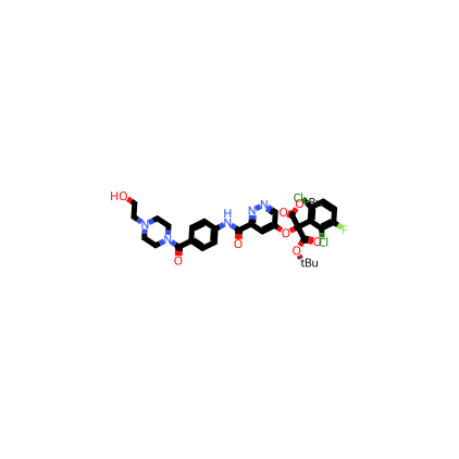 CC(C)(C)OC(=O)C(Oc1cnnc(C(=O)Nc2ccc(C(=O)N3CCN(CCO)CC3)cc2)c1)(C(=O)OC(C)(C)C)c1c(Cl)ccc(F)c1Cl